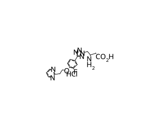 Cl.NC(CC(=O)O)Cn1nnc(-c2ccc(OCCc3ncccn3)c(F)c2)n1